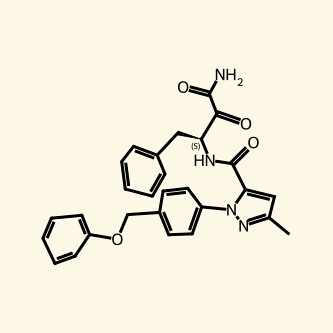 Cc1cc(C(=O)N[C@@H](Cc2ccccc2)C(=O)C(N)=O)n(-c2ccc(COc3ccccc3)cc2)n1